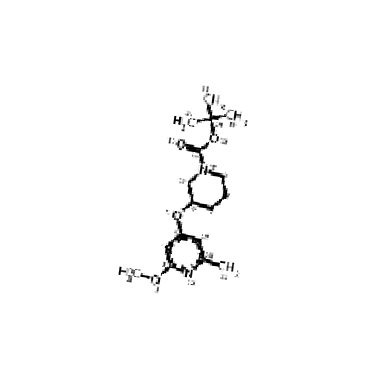 COc1cc(OC2CCCN(C(=O)OC(C)(C)C)C2)cc(C)n1